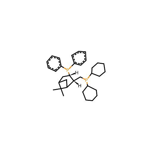 CC1(C)C2CC1[C@@H](CP(C1CCCCC1)C1CCCCC1)[C@@H](P(c1ccccc1)c1ccccc1)C2